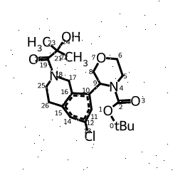 CC(C)(C)OC(=O)N1CCOCC1c1cc(Cl)cc2c1CN(C(=O)C(C)(C)O)CC2